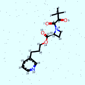 CC(C)(C)C(=O)C(=O)N1CC[C@H]1C(=O)OCCCc1cccnc1